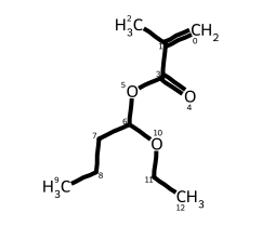 C=C(C)C(=O)OC(CCC)OCC